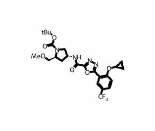 COC[C@@H]1C[C@@H](NC(=O)c2nnc(-c3cc(C(F)(F)F)ccc3OC3CC3)o2)CN1C(=O)OC(C)(C)C